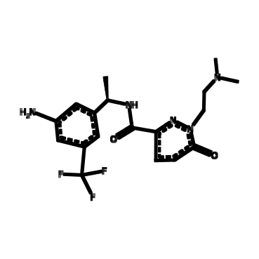 C[C@@H](NC(=O)c1ccc(=O)n(CCN(C)C)n1)c1cc(N)cc(C(F)(F)F)c1